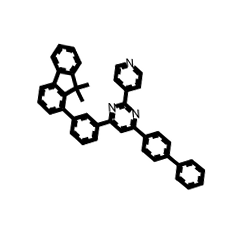 CC1(C)c2ccccc2-c2cccc(-c3cccc(-c4cc(-c5ccc(-c6ccccc6)cc5)nc(-c5ccncc5)n4)c3)c21